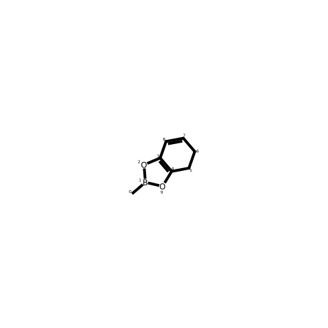 CB1OC2=C(CCC=C2)O1